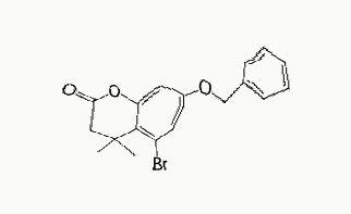 CC1(C)CC(=O)Oc2cc(OCc3ccccc3)cc(Br)c21